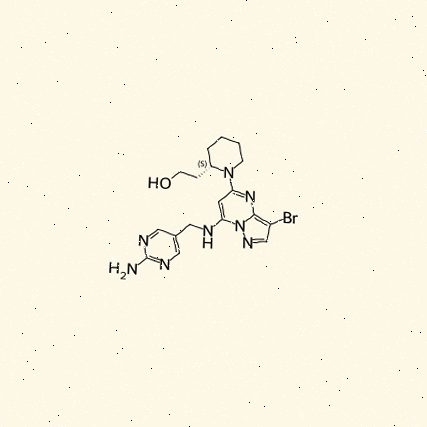 Nc1ncc(CNc2cc(N3CCCC[C@H]3CCO)nc3c(Br)cnn23)cn1